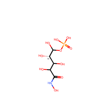 O=C(NO)C(O)C(O)[C@H](O)C(O)OP(=O)(O)O